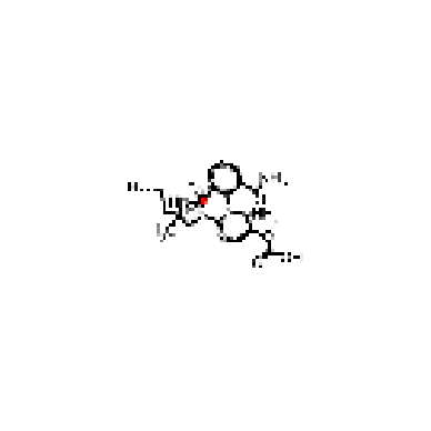 CCCC1(C)CN(C2=NC=C(OC(=O)O)C(N)N2c2c(C(N)=O)cccc2C(F)(F)F)C(=O)N1